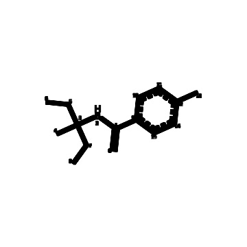 C=C(BC(C)(CC)CC)c1ccc(C)cc1